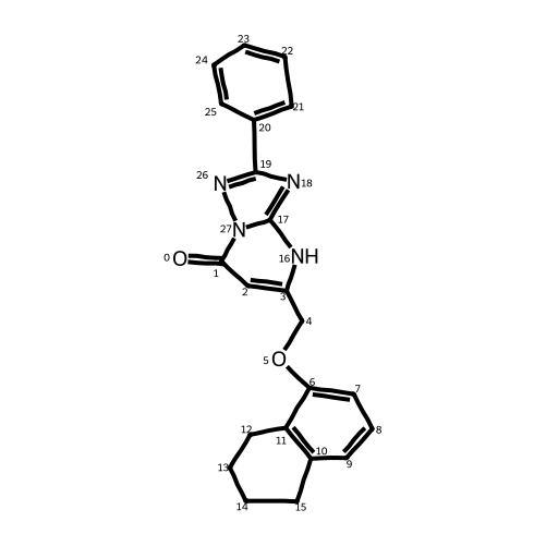 O=c1cc(COc2cccc3c2CCCC3)[nH]c2nc(-c3ccccc3)nn12